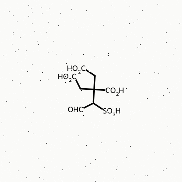 O=CC(C(CC(=O)O)(CC(=O)O)C(=O)O)S(=O)(=O)O